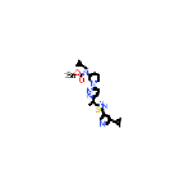 CC(c1ccc(N2CCC[C@@H](N(CC3CC3)C(=O)OC(C)(C)C)C2)nn1)c1nnc(-c2cncc(C3CC3)c2)s1